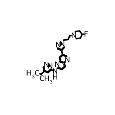 CC(C)c1cnnc(Nc2ccc3ncc(-c4cnn(CCCN5CCC(F)CC5)c4)cc3n2)c1